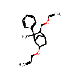 C=CCOC1CC2CC1C(C)(c1ccccc1)C2COC=C